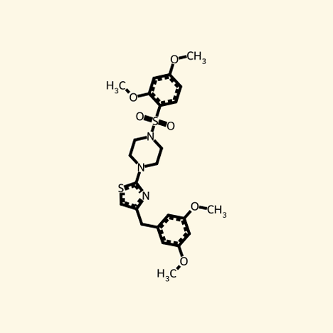 COc1cc(Cc2csc(N3CCN(S(=O)(=O)c4ccc(OC)cc4OC)CC3)n2)cc(OC)c1